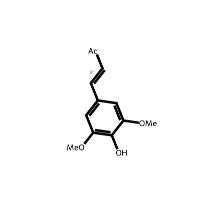 COc1cc(/C=C/C(C)=O)cc(OC)c1O